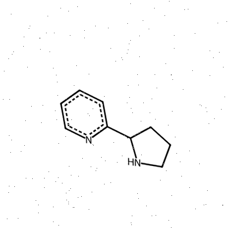 c1ccc([C]2CCCN2)nc1